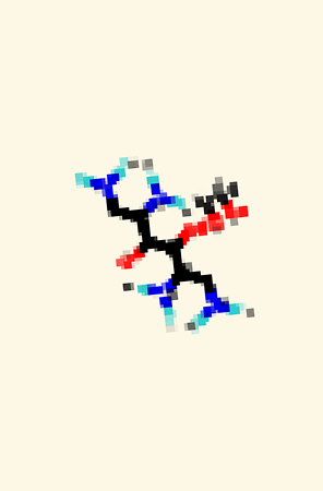 O=[N+]([O-])O.O=[N+]([O-])O.OC(C(O)C(CN(F)F)N(F)F)C(CN(F)F)N(F)F